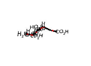 BCC(=O)NCCCCC(NC(=O)COCCOCCNC(=O)CCC(NC(=O)CCCCCCCCCCCCCCC(=O)O)C(=O)O)C(=O)O